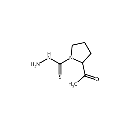 CC(=O)C1CCCN1C(=S)NN